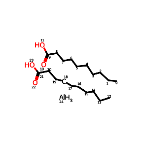 CCCCCCCCCC(=O)O.CCCCCCCCCC(=O)O.[AlH3]